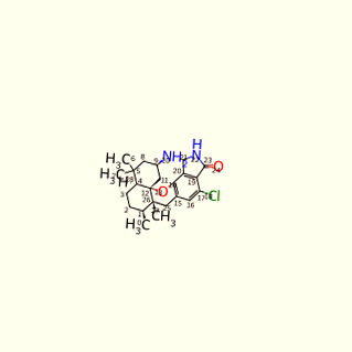 C[C@H]1CC[C@H]2C(C)(C)C[C@@H](N)C[C@]23Oc2c(cc(Cl)c4c2CNC4=O)C[C@]13C